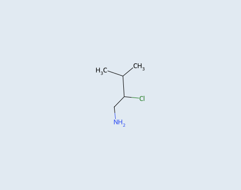 CC(C)C(Cl)CN